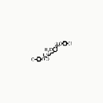 CC1CN(C(=O)COc2ccc(Cl)cc2)CCC1CCCNC(=O)COc1ccc(Cl)cc1